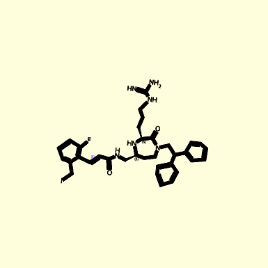 N=C(N)NCCC[C@@H]1N[C@H](CNC(=O)/C=C/c2c(F)cccc2CI)CCN(CC(c2ccccc2)c2ccccc2)C1=O